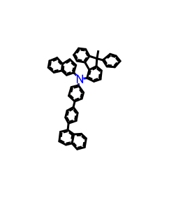 CC1(c2ccccc2)c2ccccc2-c2c(N(c3ccc(-c4ccc(-c5cccc6ccccc56)cc4)cc3)c3ccc4ccccc4c3)cccc21